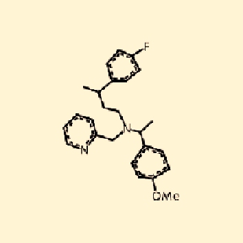 COc1ccc(C(C)N(CCC(C)c2ccc(F)cc2)Cc2ccccn2)cc1